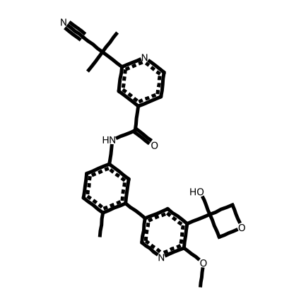 COc1ncc(-c2cc(NC(=O)c3ccnc(C(C)(C)C#N)c3)ccc2C)cc1C1(O)COC1